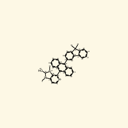 CN1c2ccnc(-c3c4ccccc4c(-c4ccc5c(c4)-c4ccccc4C5(C)C)c4ccccc34)c2N(C)C1O